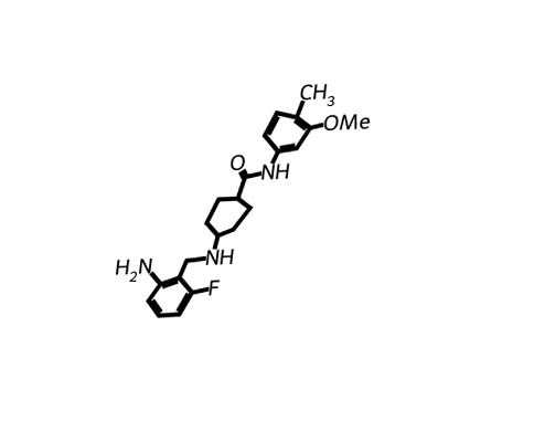 COc1cc(NC(=O)C2CCC(NCc3c(N)cccc3F)CC2)ccc1C